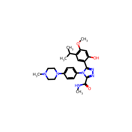 CNC(=O)c1nnc(-c2cc(C(C)C)c(OC)cc2O)n1-c1ccc(N2CCN(C)CC2)cc1